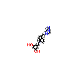 C[C@H](CN1CCNC(C(F)(F)F)C1)[C@H]1CC[C@H]2/C(=C/C=C3C[C@@H](O)C[C@H](O)C3)CCC[C@]12C